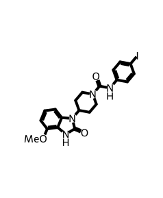 COc1cccc2c1[nH]c(=O)n2C1CCN(C(=O)Nc2ccc(I)cc2)CC1